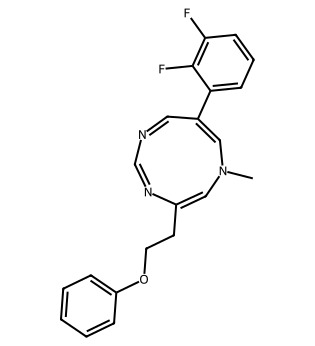 Cn1cc(-c2cccc(F)c2F)cncnc(CCOc2ccccc2)c1